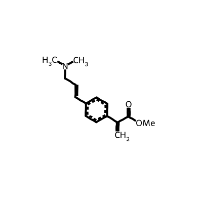 C=C(C(=O)OC)c1ccc(/C=C/CN(C)C)cc1